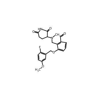 COc1ccc(F)c(COc2cccc(C=O)c2CN(C)C2CCC(=O)NC2=O)c1